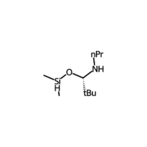 CCCN[C@@H](O[SiH](C)C)C(C)(C)C